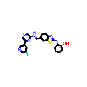 O[C@@H]1CCCCC1Nc1nc2ccc(CNc3cncc(-c4cncc(F)c4)n3)cc2s1